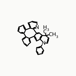 CC1(C)C=CN(c2ccccc2)c2cc3c(cc21)-c1ncccc1-c1ccccc1-c1ccccc1-3